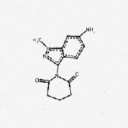 Cn1nc(N2C(=O)CCCC2=O)c2ccc(N)cc21